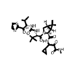 CNC(=O)C(=O)C(NC(=O)[C@@H]1[C@@H]2[C@H](CN1C(=O)[C@@H](NC(=O)N[C@H](C(=O)c1nccs1)C(C)C)C(C)(C)C)C2(C)C)C1CC1